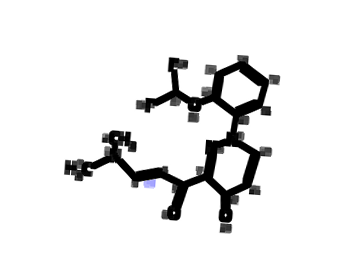 CN(C)/C=C/C(=O)c1nn(-c2ccccc2OC(F)F)ccc1=O